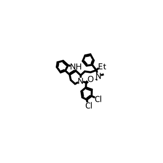 CCC(CCC1c2[nH]c3ccccc3c2CCN1C(=O)c1ccc(Cl)c(Cl)c1)(c1ccccc1)N(C)C